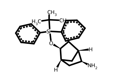 CC(C)(C)[Si](O[C@H]1C[C@H]2C[C@@H]1C[C@@H]2N)(c1ccccc1)c1ccccc1